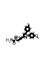 COc1ccc(-n2nc(C#CCN(O)C(N)=O)cc2-c2ccc(C)cc2)cc1